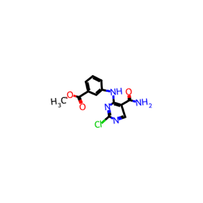 COC(=O)c1cccc(Nc2nc(Cl)ncc2C(N)=O)c1